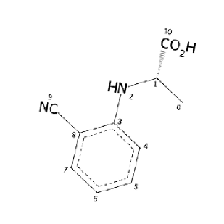 C[C@H](Nc1ccccc1C#N)C(=O)O